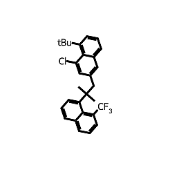 CC(C)(C)c1cccc2cc(CC(C)(C)c3cccc4cccc(C(F)(F)F)c34)cc(Cl)c12